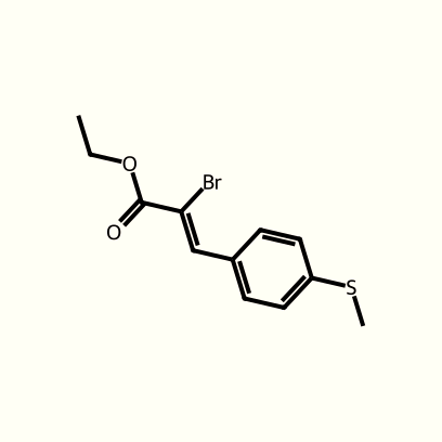 CCOC(=O)C(Br)=Cc1ccc(SC)cc1